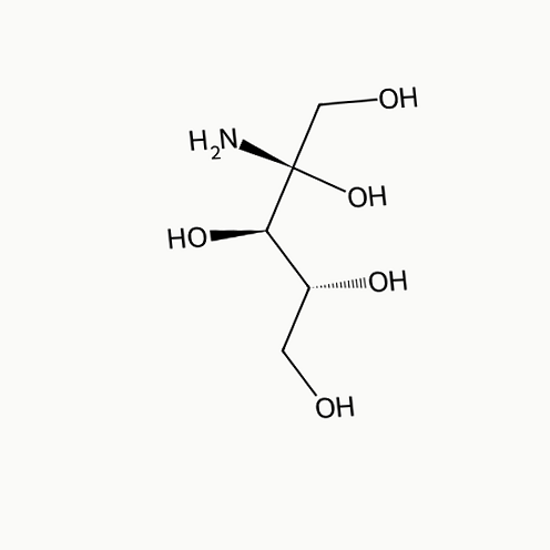 N[C@](O)(CO)[C@H](O)[C@H](O)CO